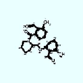 Cc1cccc(C(=O)N2CCCCC2COc2cccc(O)c2C=O)c1C=O